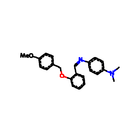 COc1ccc(COc2ccccc2/C=N\c2ccc(N(C)C)cc2)cc1